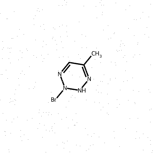 CC1=NNN(Br)N=C1